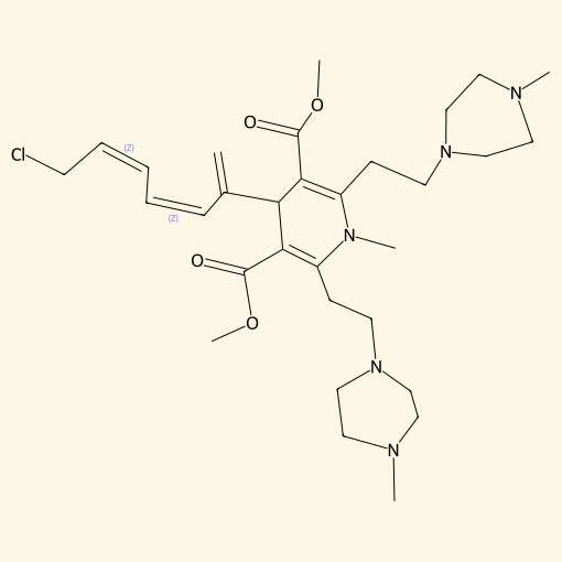 C=C(/C=C\C=C/CCl)C1C(C(=O)OC)=C(CCN2CCN(C)CC2)N(C)C(CCN2CCN(C)CC2)=C1C(=O)OC